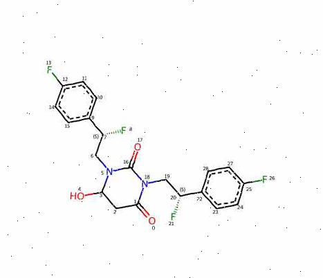 O=C1CC(O)N(C[C@@H](F)c2ccc(F)cc2)C(=O)N1C[C@@H](F)c1ccc(F)cc1